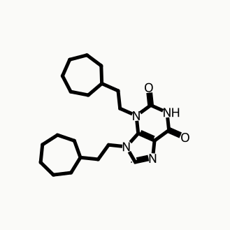 O=c1[nH]c(=O)n(CCC2CCCCCC2)c2c1n[c]n2CCC1CCCCCC1